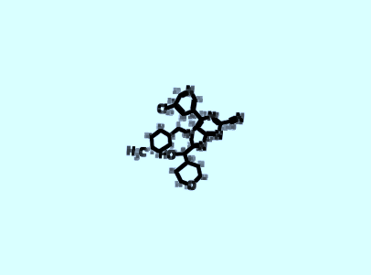 C[C@H]1CC[C@H](Cn2c(C(O)C3CCOCC3)nc3nc(C#N)nc(-c4cncc(Cl)c4)c32)CC1